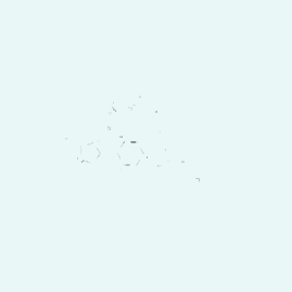 Cc1noc(-c2ccc(O[C@H]3CCC[C@H](C(=O)O)C3)cc2)c1C(C)OC(=O)N(C)CCC(C)C